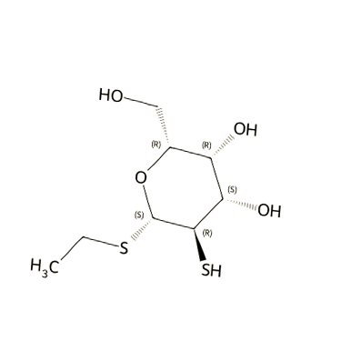 CCS[C@@H]1O[C@H](CO)[C@H](O)[C@H](O)[C@H]1S